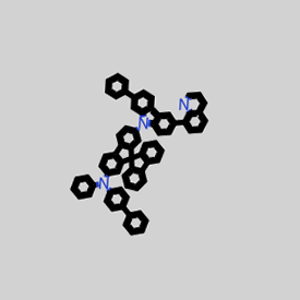 c1ccc(-c2ccc(N(c3ccccc3)c3ccc4c(c3)C3(c5ccccc5-c5ccccc53)c3cc(-n5c6ccc(-c7cccc8cccnc78)cc6c6ccc(-c7ccccc7)cc65)ccc3-4)cc2)cc1